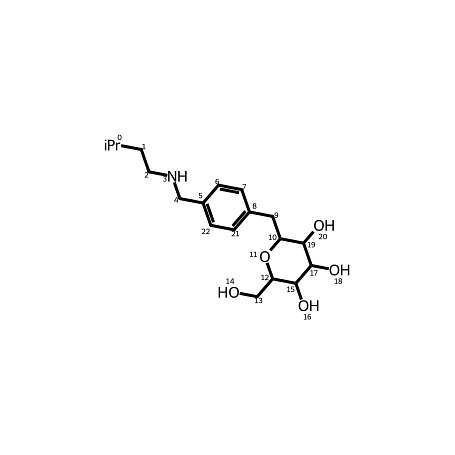 CC(C)CCNCc1ccc(CC2OC(CO)C(O)C(O)C2O)cc1